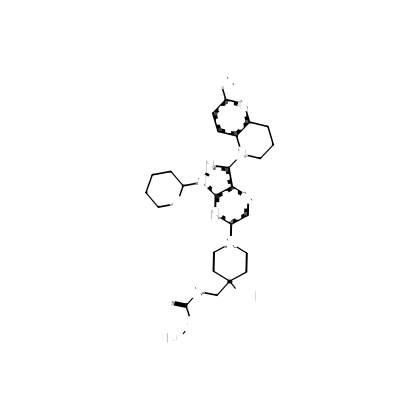 CC1(CNC(=O)OC(C)(C)C)CCN(c2cnc3c(N4CCCc5nc(C#N)ccc54)nn(C4CCCCO4)c3n2)CC1